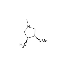 CN[C@@H]1CN(C)C[C@@H]1N